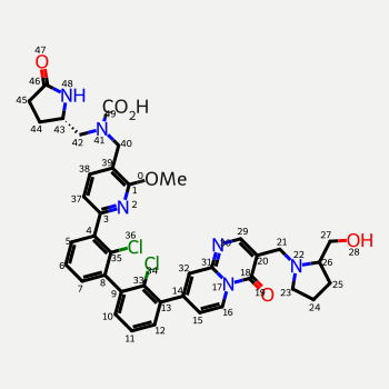 COc1nc(-c2cccc(-c3cccc(-c4ccn5c(=O)c(CN6CCCC6CO)cnc5c4)c3Cl)c2Cl)ccc1CN(C[C@@H]1CCC(=O)N1)C(=O)O